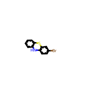 Brc1ccc2c(c1)Sc1ccccc1N2